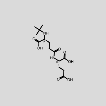 CC(C)(C)N[C@@H](CCC(=O)N[C@@H](CCC(=O)O)C(=O)O)C(=O)O